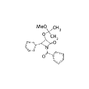 COC(C)(C)OC1C(=O)N(C(=O)c2ccccc2)C1c1ccccc1